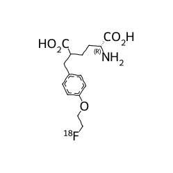 N[C@H](CCC(Cc1ccc(OCC[18F])cc1)C(=O)O)C(=O)O